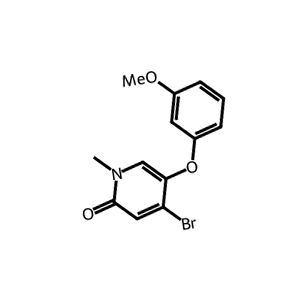 COc1cccc(Oc2cn(C)c(=O)cc2Br)c1